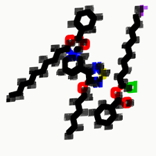 CCCCCCCCCC(Cl)OC(=O)C1CCCCC1.CCCCCCCCCC(OC(=O)C1CCCCC1)[N+]1(C)CCC=C(c2nsnc2OCCCCCC)C1.[I-]